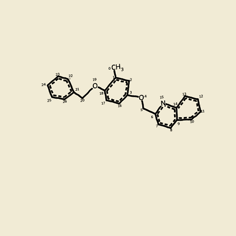 Cc1cc(OCc2ccc3ccccc3n2)ccc1OCc1[c]cccc1